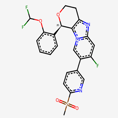 CS(=O)(=O)c1ccc(-c2cn3c4c(nc3cc2F)CCO[C@@H]4c2ccccc2OC(F)F)cn1